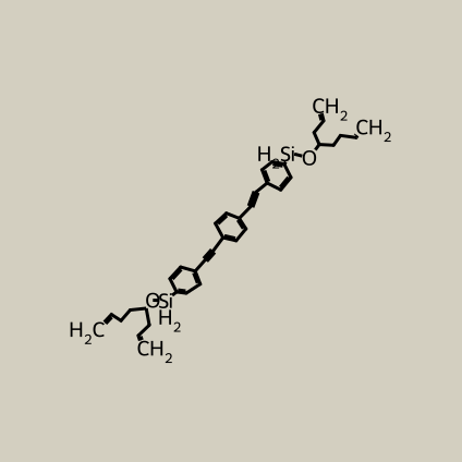 C=CCCC(CC=C)O[SiH2]c1ccc(C#Cc2ccc(C#Cc3ccc([SiH2]OC(CC=C)CCC=C)cc3)cc2)cc1